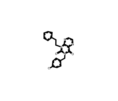 O=c1c2nccnc2n(CCc2ccccc2)c(=O)n1Cc1ccc(Cl)cc1